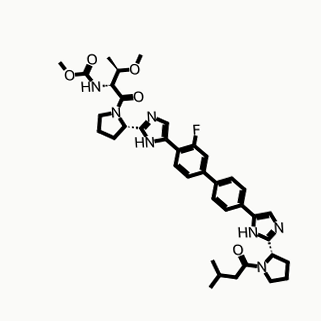 COC(=O)N[C@@H](C(=O)N1CCC[C@H]1c1ncc(-c2ccc(-c3ccc(-c4cnc([C@@H]5CCCN5C(=O)CC(C)C)[nH]4)cc3)cc2F)[nH]1)[C@@H](C)OC